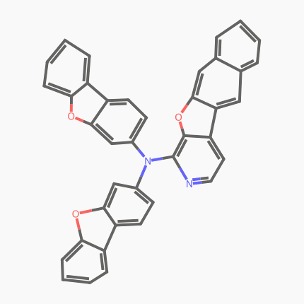 c1ccc2cc3c(cc2c1)oc1c(N(c2ccc4c(c2)oc2ccccc24)c2ccc4c(c2)oc2ccccc24)nccc13